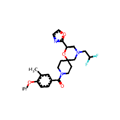 Cc1cc(C(=O)N2CCC3(CC2)CN(CC(F)F)CC(c2ncco2)O3)ccc1OC(C)C